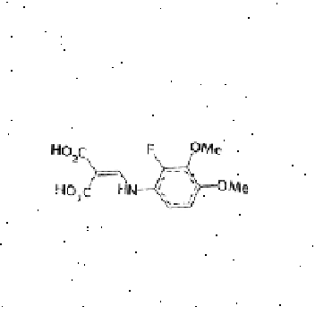 COc1ccc(NC=C(C(=O)O)C(=O)O)c(F)c1OC